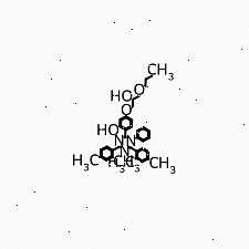 CCCCOCC(O)COc1ccc(C2N=C(c3ccc(C)cc3C)N=C(c3ccc(C)cc3C)N2c2ccccc2)c(O)c1